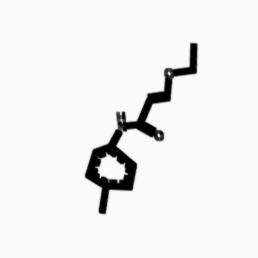 CCO/C=C/C(=O)Nc1ccc(C)cc1